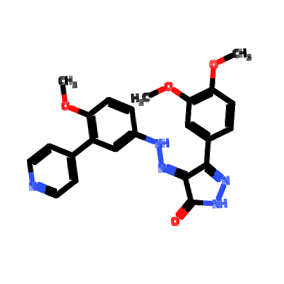 COc1ccc(C2=NNC(=O)/C2=N/Nc2ccc(OC)c(-c3ccncc3)c2)cc1OC